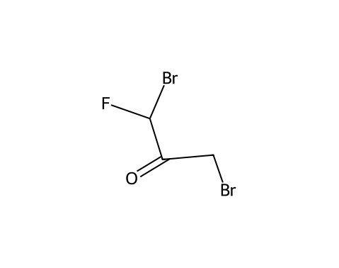 O=C(CBr)C(F)Br